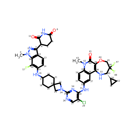 Cn1nc(C2CCC(=O)NC2=O)c2ccc(NC3CCC4(CC3)CN(c3ncc(Cl)c(Nc5ccc6c(c5)c5c(c(=O)n6C)OCC(F)(F)[C@H](C6CC6)N5)n3)C4)c(F)c21